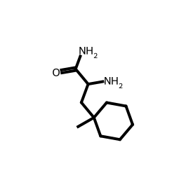 CC1(CC(N)C(N)=O)CCCCC1